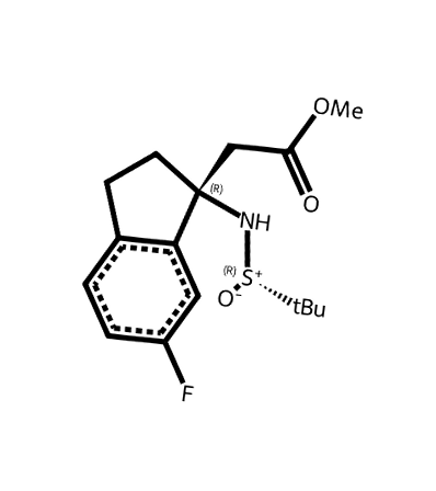 COC(=O)C[C@]1(N[S@@+]([O-])C(C)(C)C)CCc2ccc(F)cc21